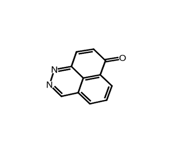 O=C1C=Cc2nncc3cccc1c23